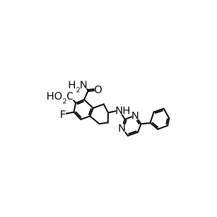 NC(=O)c1c2c(cc(F)c1C(=O)O)CCC(Nc1nccc(-c3ccccc3)n1)C2